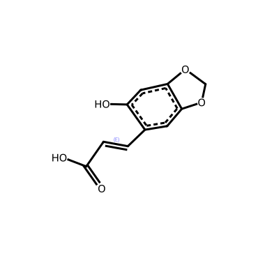 O=C(O)/C=C/c1cc2c(cc1O)OCO2